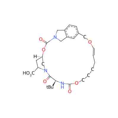 CC(C)(C)[C@@H]1NC(=O)OCCCC/C=C/OCc2ccc3c(c2)CN(C3)C(=O)O[C@@H]2CC(C(=O)O)N(C2)C1=O